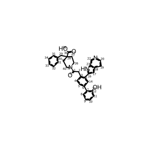 O=C(Cc1ccc(-c2ccccc2O)cc1-c1cc2ccncc2[nH]1)N1CCC(Cc2ccccc2)(C(=O)O)CC1